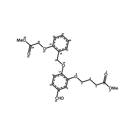 COC(=O)CCCOc1cc(C=O)ccc1OCc1ccccc1OCC(=O)OC